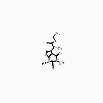 CCOC(=O)[C@H](C)n1cnc2c1c(=O)n(C)c(=O)n2C